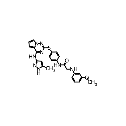 COc1cccc(NCC(=O)Nc2ccc(Sc3nc(Nc4cc(C)[nH]n4)c4cccn4n3)cc2)c1